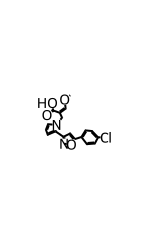 CO/C=C(/Cn1cccc1-c1cc(-c2ccc(Cl)cc2)on1)C(=O)O